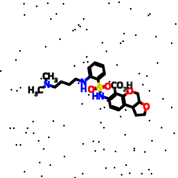 CN(C)CCCCNc1ccccc1S(=O)(=O)Nc1ccc2c(c1C(=O)O)OCC1OCCC21